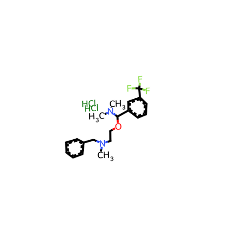 CN(CCOC(c1cccc(C(F)(F)F)c1)N(C)C)Cc1ccccc1.Cl.Cl